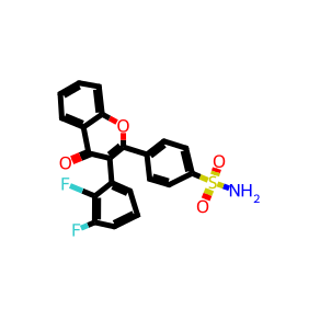 NS(=O)(=O)c1ccc(-c2oc3ccccc3c(=O)c2-c2cccc(F)c2F)cc1